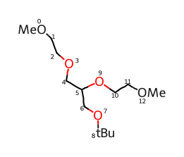 COCCOCC(COC(C)(C)C)OCCOC